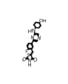 O=C1NC(=O)/C(=C/c2cc(-c3cncc(NC4CCC(O)CC4)n3)ccc2F)S1